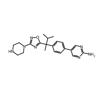 CC(C)C(C)(c1ccc(-c2cnc(N)nc2)cc1)c1nc(N2CCNCC2)no1